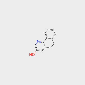 Oc1cnc2c(c1)CCc1ccccc1-2